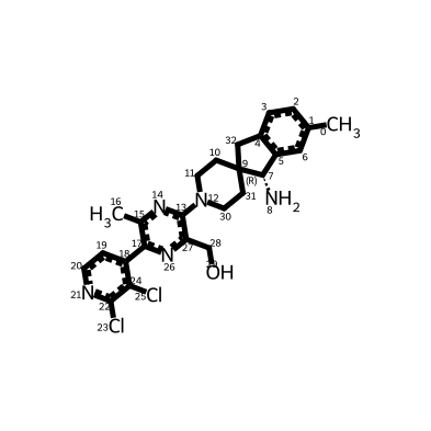 Cc1ccc2c(c1)[C@H](N)C1(CCN(c3nc(C)c(-c4ccnc(Cl)c4Cl)nc3CO)CC1)C2